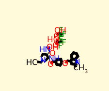 C#CCN1CC[C@H](C(=O)NO)[C@H](NC(=O)c2ccc(OCc3cc(C)nc4ccccc34)cc2)C1.O=C(O)C(F)(F)F.O=C(O)C(F)(F)F